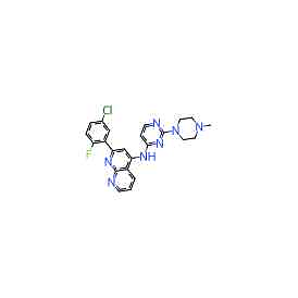 CN1CCN(c2nccc(Nc3cc(-c4cc(Cl)ccc4F)nc4ncccc34)n2)CC1